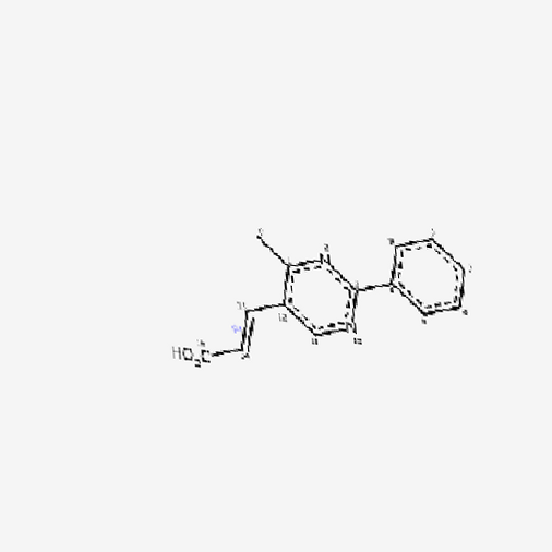 Cc1nc(-c2ccccc2)ncc1/C=C/C(=O)O